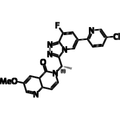 COC1=CC2C(=O)N([C@@H](C)c3nnc4c(F)cc(-c5ccc(Cl)cn5)cn34)C=CC2N=C1